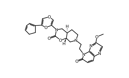 COc1cnc2ccc(=O)n(CCN3CC[C@@H]4CN(C5=COC=C(C6=CC=CCC6)O5)C(=O)O[C@H]4C3)c2n1